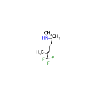 CNC(C)CC/C=C(\C)C(F)(F)F